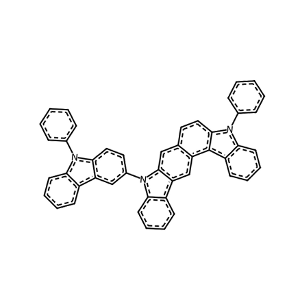 c1ccc(-n2c3ccccc3c3cc(-n4c5ccccc5c5cc6c(ccc7c6c6ccccc6n7-c6ccccc6)cc54)ccc32)cc1